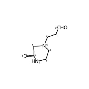 O=CCCN1CCNC(=O)C1